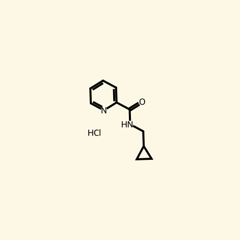 Cl.O=C(NCC1CC1)c1ccccn1